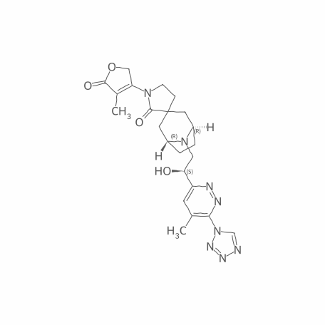 CC1=C(N2CCC3(C[C@H]4CC[C@H](C3)N4C[C@H](O)c3cc(C)c(-n4cnnn4)nn3)C2=O)COC1=O